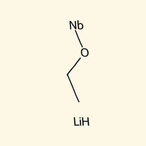 CC[O][Nb].[LiH]